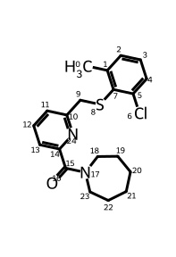 Cc1cccc(Cl)c1SCc1cccc(C(=O)N2CCCCCC2)n1